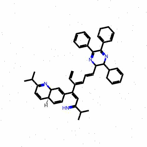 C=CC(=C\C=C\C1N=C(c2ccccc2)C(C2=CCCC=C2)=NC1C1C=CC=CC1)/C(=C/C(=N)C(C)C)C1=CC2N=C(C(C)C)C=C[C@@H]2C=C1